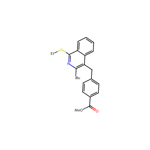 CCSc1nc(C(C)CC)c(Cc2ccc(C(=O)OC)cc2)c2ccccc12